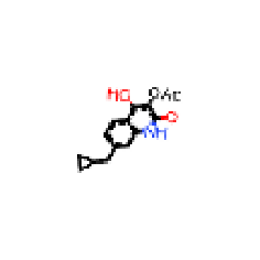 CC(=O)Oc1c(O)c2ccc(CC3CC3)cc2[nH]c1=O